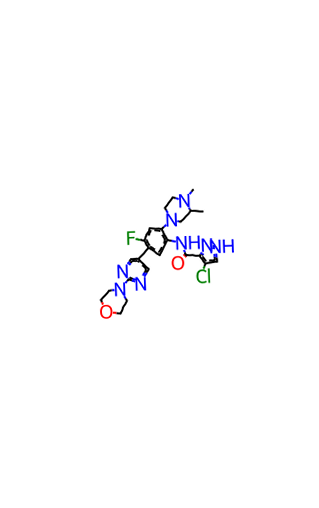 CC1CN(c2cc(F)c(-c3cnc(N4CCOCC4)nc3)cc2NC(=O)c2n[nH]cc2Cl)CCN1C